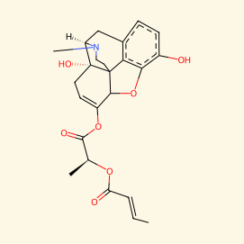 C/C=C/C(=O)O[C@@H](C)C(=O)OC1=CC[C@@]2(O)[C@H]3Cc4ccc(O)c5c4C2(CCN3C)C1O5